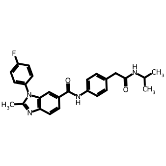 Cc1nc2ccc(C(=O)Nc3ccc(CC(=O)NC(C)C)cc3)cc2n1-c1ccc(F)cc1